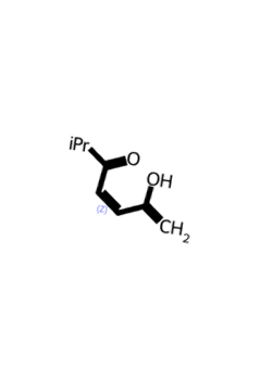 C=C(O)/C=C\C(=O)C(C)C